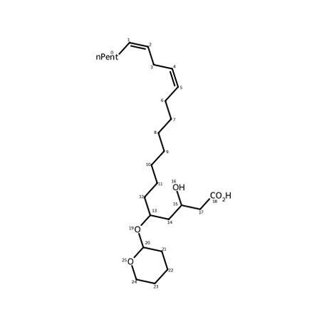 CCCCC/C=C\C/C=C\CCCCCCCC(CC(O)CC(=O)O)OC1CCCCO1